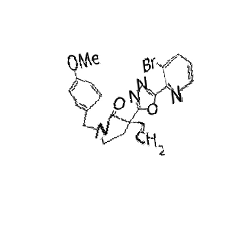 C=C[C@@]1(c2nnc(-c3ncccc3Br)o2)CCN(Cc2ccc(OC)cc2)C1=O